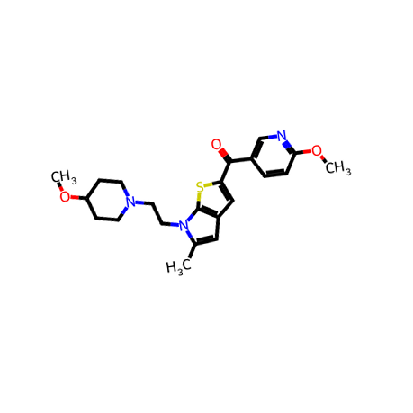 COc1ccc(C(=O)c2cc3cc(C)n(CCN4CCC(OC)CC4)c3s2)cn1